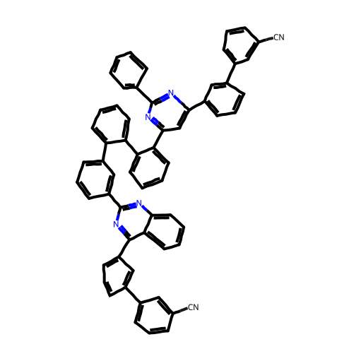 N#Cc1cccc(-c2cccc(-c3cc(-c4ccccc4-c4ccccc4-c4cccc(-c5nc(-c6cccc(-c7cccc(C#N)c7)c6)c6ccccc6n5)c4)nc(-c4ccccc4)n3)c2)c1